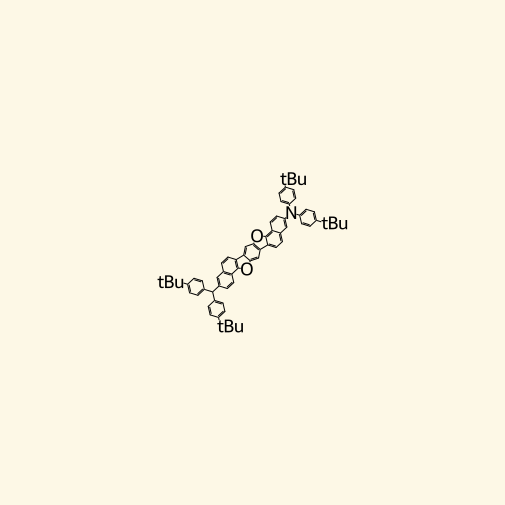 CC(C)(C)c1ccc(C(c2ccc(C(C)(C)C)cc2)c2ccc3c(ccc4c5cc6oc7c8ccc(N(c9ccc(C(C)(C)C)cc9)c9ccc(C(C)(C)C)cc9)cc8ccc7c6cc5oc34)c2)cc1